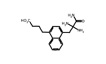 NC(=O)C(N)(N)Cc1ccc(CCCC(=O)O)c2ccccc12